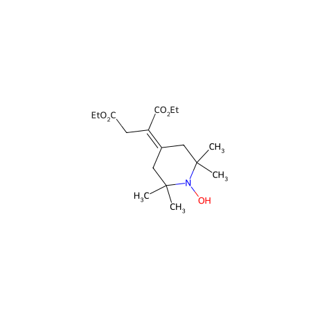 CCOC(=O)CC(C(=O)OCC)=C1CC(C)(C)N(O)C(C)(C)C1